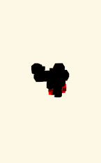 c1ccc(-c2ccccc2-c2nc(-c3ccc(-c4cccc5c4sc4ccccc45)cc3)nc(-c3cccc4c3-c3ccccc3C43c4ccccc4Sc4ccccc43)n2)cc1